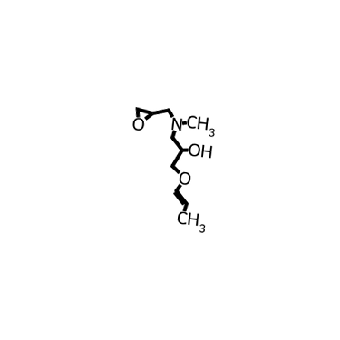 CC=COCC(O)CN(C)CC1CO1